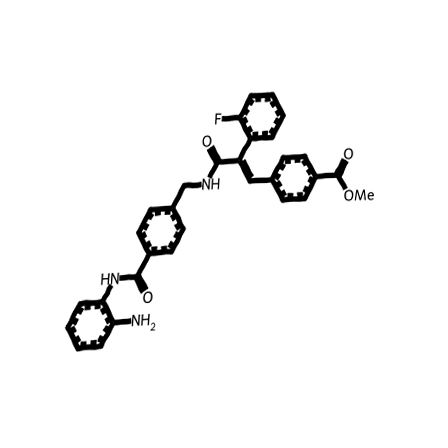 COC(=O)c1ccc(/C=C(/C(=O)NCc2ccc(C(=O)Nc3ccccc3N)cc2)c2ccccc2F)cc1